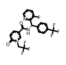 O=C(N[C@@H](c1ccc(C(F)(F)F)cc1)c1ncccc1F)c1ccc(=O)n(CC(F)(F)F)c1